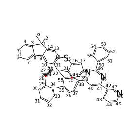 CC1(C)c2ccccc2-c2cc3c(cc21)Sc1ccccc1C31c2ccccc2-c2ccccc2-c2ccc(-c3cc(-c4cccnc4)nc(-c4ccccc4)n3)cc21